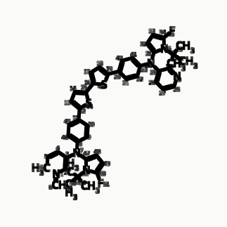 C=N/C=C(\C=C/C)N(c1ccc(-c2ccc(-c3ccc(-c4ccc(N(c5cccnc5)c5ccc(F)n5C(C)(C)C)cc4)s3)s2)cc1)c1ccc(F)n1C(C)(C)C